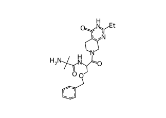 CCc1nc2c(c(=O)[nH]1)CCN(C(=O)C(COCc1ccccc1)NC(=O)C(C)(C)N)C2